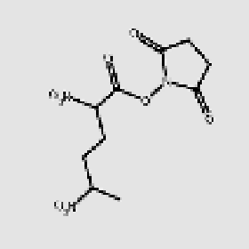 CC(CCC(C(=O)ON1C(=O)CCC1=O)[N+](=O)[O-])[N+](=O)[O-]